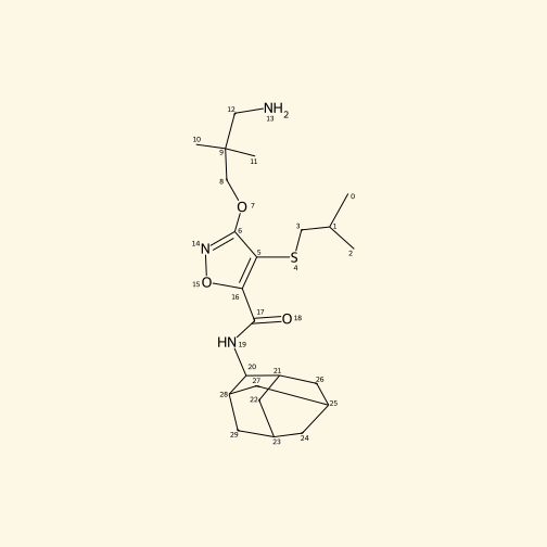 CC(C)CSc1c(OCC(C)(C)CN)noc1C(=O)NC1C2CC3CC(C2)CC1C3